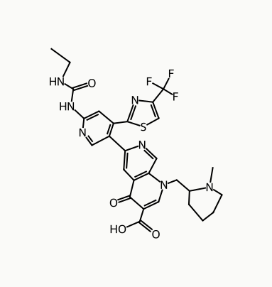 CCNC(=O)Nc1cc(-c2nc(C(F)(F)F)cs2)c(-c2cc3c(=O)c(C(=O)O)cn(CC4CCCCN4C)c3cn2)cn1